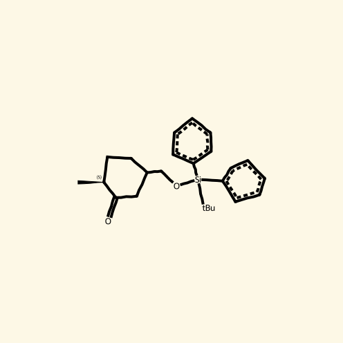 C[C@H]1CCC(CO[Si](c2ccccc2)(c2ccccc2)C(C)(C)C)CC1=O